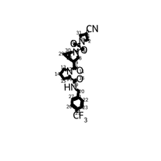 N#CC1CN(S(=O)(=O)N2CC(C(=O)N3CCC[C@@H]3C(=O)NCc3ccc(C(F)(F)F)cc3)C3CC32)C1